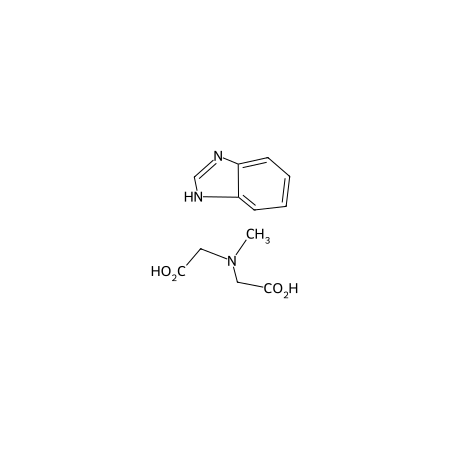 CN(CC(=O)O)CC(=O)O.c1ccc2[nH]cnc2c1